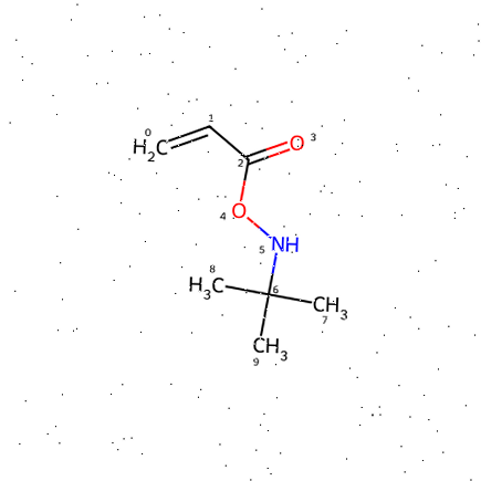 C=CC(=O)ONC(C)(C)C